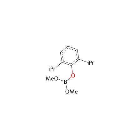 COB(OC)Oc1c(C(C)C)cccc1C(C)C